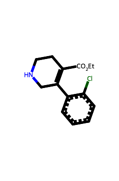 CCOC(=O)C1=C(c2ccccc2Cl)CNCC1